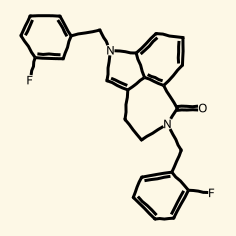 O=C1c2cccc3c2c(cn3Cc2cccc(F)c2)CCN1Cc1ccccc1F